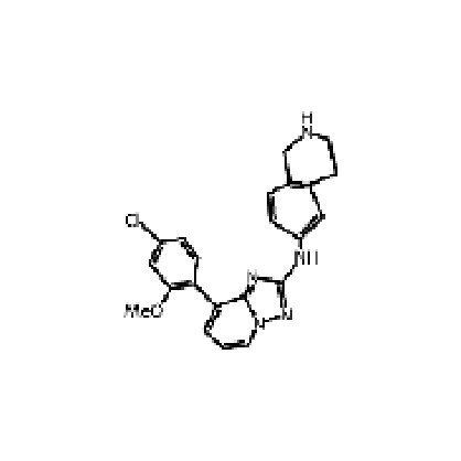 COc1cc(Cl)ccc1-c1cccn2nc(Nc3ccc4c(c3)CCNC4)nc12